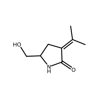 CC(C)=C1CC(CO)NC1=O